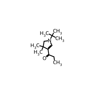 CCC(=O)C1=CN(C(C)(C)C)CC1(C)C